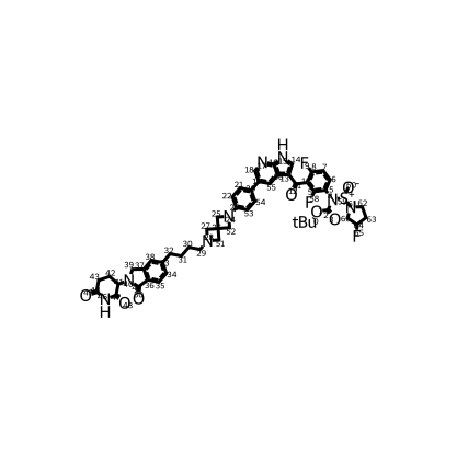 CC(C)(C)OC(=O)N(c1ccc(F)c(C(=O)c2c[nH]c3ncc(-c4ccc(N5CC6(CN(CCCCc7ccc8c(c7)CN(C7CCC(=O)NC7=O)C8=O)C6)C5)cc4)cc23)c1F)[S+]([O-])N1CCC(F)C1